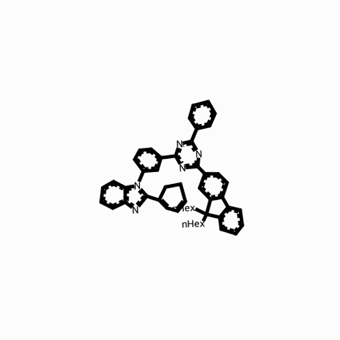 CCCCCCC1(CCCCCC)c2ccccc2-c2ccc(-c3nc(-c4ccccc4)nc(-c4cccc(-n5c(C6=CC=CCC6)nc6ccccc65)c4)n3)cc21